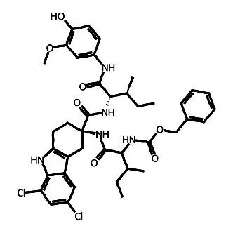 CCC(C)C(NC(=O)OCc1ccccc1)C(=O)N[C@]1(C(=O)N[C@H](C(=O)Nc2ccc(O)c(OC)c2)[C@@H](C)CC)CCc2[nH]c3c(Cl)cc(Cl)cc3c2C1